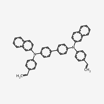 C=Cc1ccc(N(c2ccc(-c3ccc(N(c4ccc(C=C)cc4)c4ccc5ccccc5c4)cc3)cc2)c2ccc3ccccc3c2)cc1